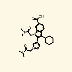 CN(C)C(=O)Cn1ccc(-c2c(C3CCCCC3)c3ccc(C(=O)O)cc3n2CC(=O)N(C)C)c1